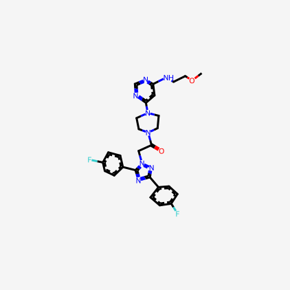 COCCNc1cc(N2CCN(C(=O)Cn3nc(-c4ccc(F)cc4)nc3-c3ccc(F)cc3)CC2)ncn1